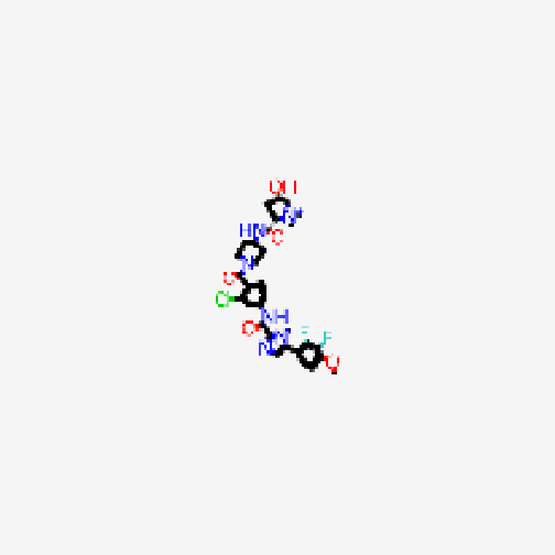 COc1ccc(-c2cnc(C(=O)Nc3ccc(C(=O)N4CCC(NC(=O)[C@@H]5C[C@@H](O)C[N+]5(C)C)CC4)c(Cl)c3)n2C)c(F)c1F